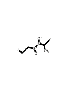 CC(F)[S+]([O-])[S+]([O-])CCF